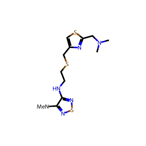 CNc1nsnc1NCCSCc1csc(CN(C)C)n1